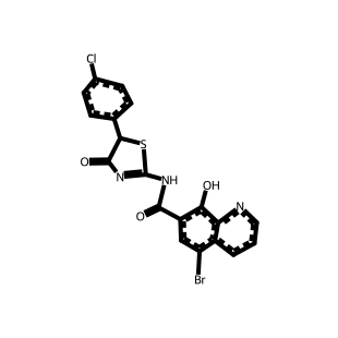 O=C(NC1=NC(=O)C(c2ccc(Cl)cc2)S1)c1cc(Br)c2cccnc2c1O